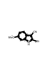 COc1ccc2c(C#N)c(C(C)C)[nH]c2c1